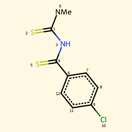 CNC(=S)NC(=S)c1ccc(Cl)cc1